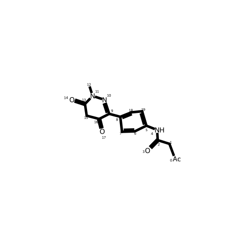 CC(=O)CC(=O)Nc1ccc(C2=NN(C)C(=O)CC2=O)cc1